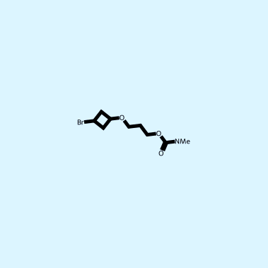 CNC(=O)OCCCOC1CC(Br)C1